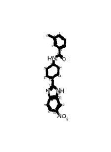 Cc1cccc(C(=O)NC2CCC(c3nc4ccc([N+](=O)[O-])cc4[nH]3)CC2)c1